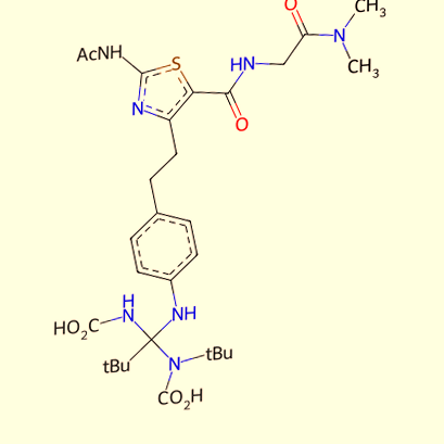 CC(=O)Nc1nc(CCc2ccc(NC(NC(=O)O)(N(C(=O)O)C(C)(C)C)C(C)(C)C)cc2)c(C(=O)NCC(=O)N(C)C)s1